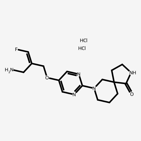 Cl.Cl.NC/C(=C\F)COc1cnc(N2CCCC3(CCNC3=O)C2)nc1